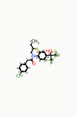 CCC1CN(C(=O)Cc2ccc(Cl)cc2)c2ccc(C(O)(C(F)(F)F)C(F)(F)F)cc2S1